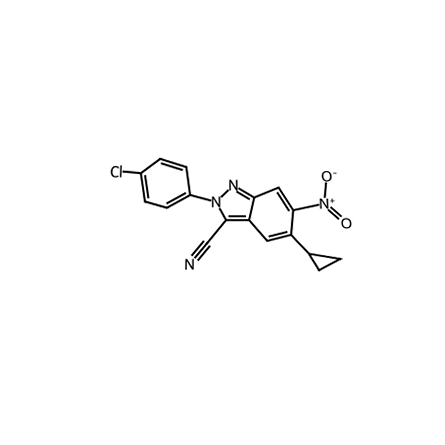 N#Cc1c2cc(C3CC3)c([N+](=O)[O-])cc2nn1-c1ccc(Cl)cc1